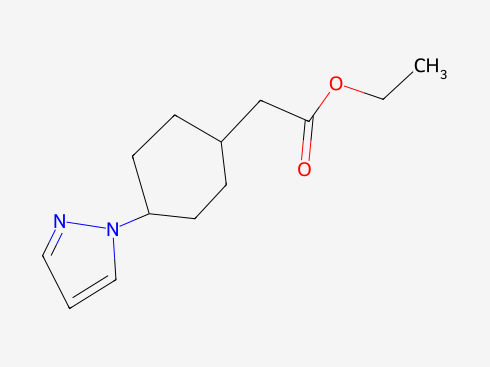 CCOC(=O)CC1CCC(n2cccn2)CC1